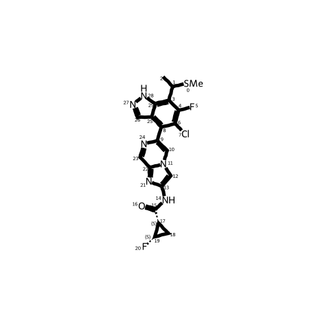 CSC(C)c1c(F)c(Cl)c(-c2cn3cc(NC(=O)[C@@H]4C[C@@H]4F)nc3cn2)c2cn[nH]c12